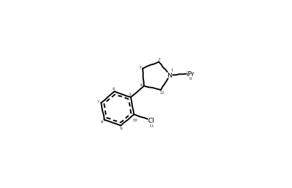 CC(C)N1CCC(c2ccccc2Cl)C1